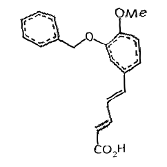 COc1ccc(/C=C/C=C/C(=O)O)cc1OCc1ccccc1